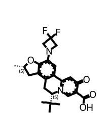 C[C@H]1Cc2c3c(cc(N4CC(F)(F)C4)c2O1)-c1cc(=O)c(C(=O)O)cn1[C@H](C(C)(C)C)C3